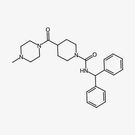 CN1CCN(C(=O)C2CCN(C(=O)NC(c3ccccc3)c3ccccc3)CC2)CC1